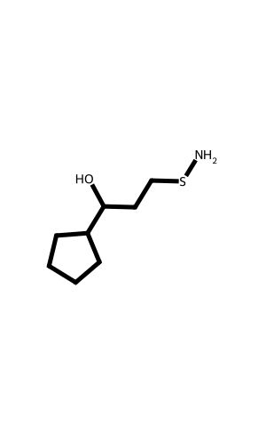 NSCCC(O)C1CCCC1